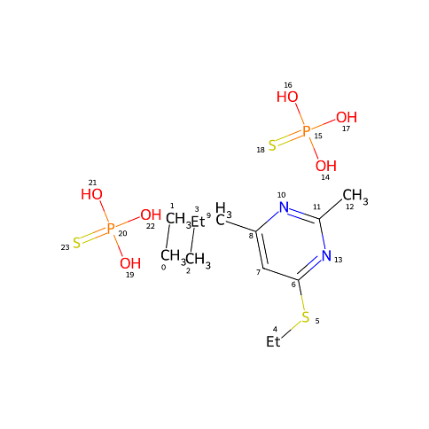 CC.CCC.CCSc1cc(C)nc(C)n1.OP(O)(O)=S.OP(O)(O)=S